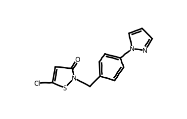 O=c1cc(Cl)sn1Cc1ccc(-n2cccn2)cc1